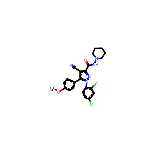 COc1ccc(-c2c(C#N)c(C(=O)NN3CCCCC3)nn2-c2ccc(Cl)cc2Cl)cc1